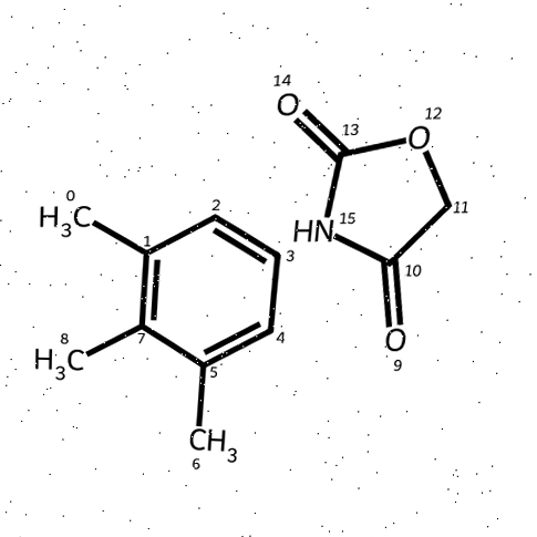 Cc1cccc(C)c1C.O=C1COC(=O)N1